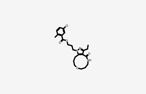 CCc1nn(CCCOC(=O)c2cc(Cl)ccc2C)c2c1C(=O)NCCCOCCC2